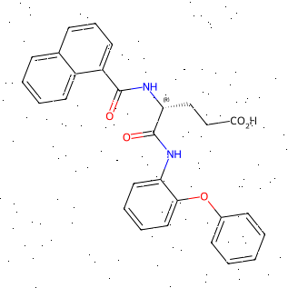 O=C(O)CC[C@@H](NC(=O)c1cccc2ccccc12)C(=O)Nc1ccccc1Oc1ccccc1